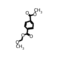 COCOC(=O)c1ccc(C(=O)OC)cc1